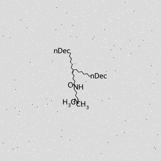 CCCCCCCCCCCCCCCCC(=CCCCC(=O)NCCCCN(C)C)CCCCCCCCCCCCCCCC